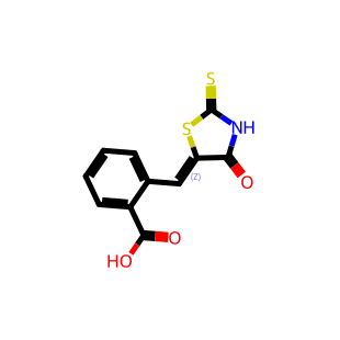 O=C1NC(=S)S/C1=C\c1ccccc1C(=O)O